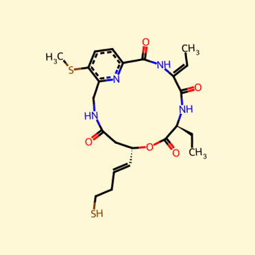 C/C=C1\NC(=O)c2ccc(SC)c(n2)CNC(=O)C[C@@H](/C=C/CCS)OC(=O)[C@H](CC)NC1=O